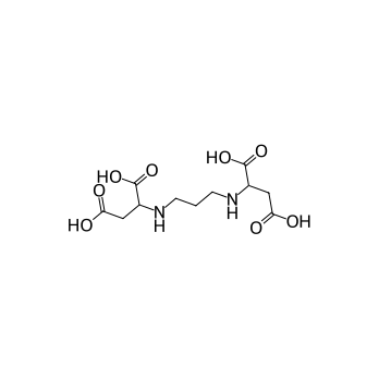 O=C(O)CC(NCCCNC(CC(=O)O)C(=O)O)C(=O)O